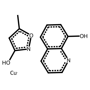 Cc1cc(O)no1.Oc1cccc2cccnc12.[Cu]